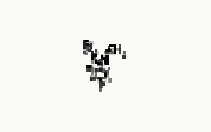 C=C/N=C(\SCCBr)c1ccc(F)cc1F